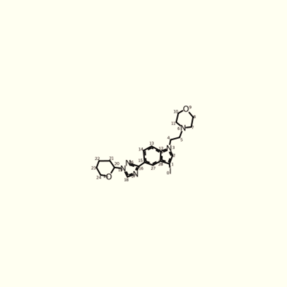 Ic1cn(CCN2CCOCC2)c2ccc(-c3ncn(C4CCCCO4)n3)cc12